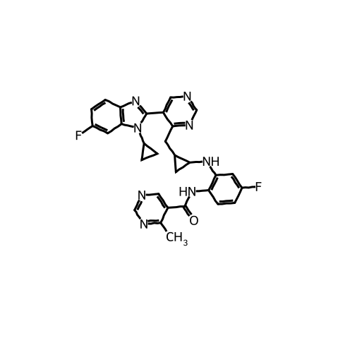 Cc1ncncc1C(=O)Nc1ccc(F)cc1NC1CC1Cc1ncncc1-c1nc2ccc(F)cc2n1C1CC1